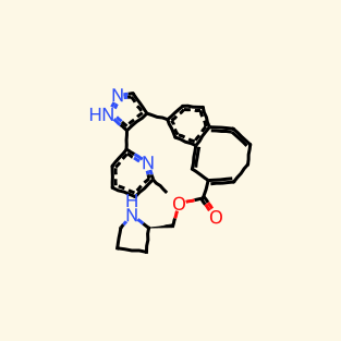 Cc1cccc(-c2[nH]ncc2-c2ccc3/c(c2)=C\C(C(=O)OC[C@H]2CCCN2)=C/CC=C=3)n1